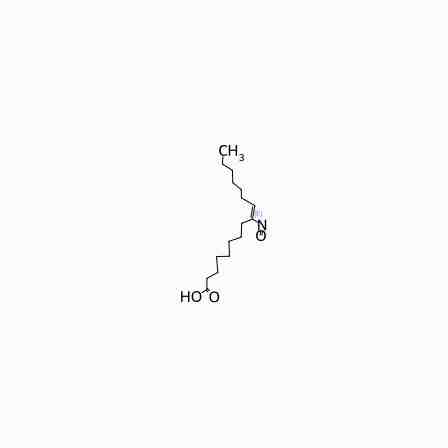 CCCCCC/C=C(\CCCCCCCC(=O)O)N=O